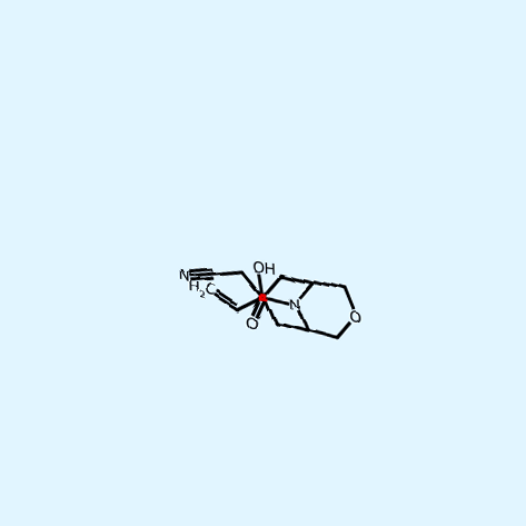 C=CC1(CC#N)CC2COCC(C1)N2C(=O)O